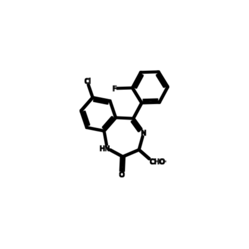 O=[C]C1N=C(c2ccccc2F)c2cc(Cl)ccc2NC1=O